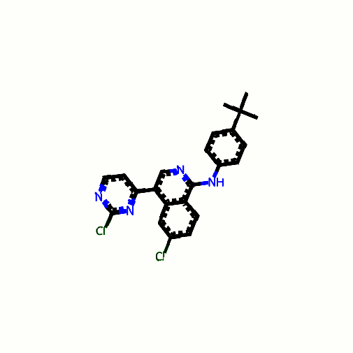 CC(C)(C)c1ccc(Nc2ncc(-c3ccnc(Cl)n3)c3cc(Cl)ccc23)cc1